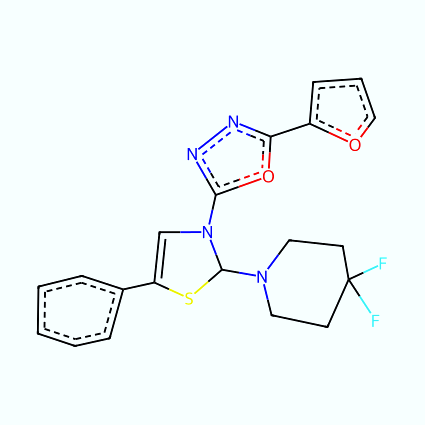 FC1(F)CCN(C2SC(c3ccccc3)=CN2c2nnc(-c3ccco3)o2)CC1